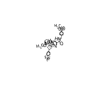 CCS(=O)(=O)c1ccc(CNC(=O)c2cnc(N3CC(c4ccc(C(F)(F)F)cc4)C[C@H]3C(=O)N(C)OC)nc2)cc1